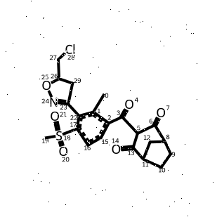 Cc1c(C(=O)C2C(=O)C3CCC(C3)C2=O)ccc(S(C)(=O)=O)c1C1=NOC(CCl)C1